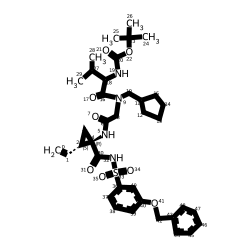 C=C[C@@H]1C[C@]1(NC(=O)CN(CC1CCCC1)C(=O)C(NC(=O)OC(C)(C)C)C(C)C)C(=O)NS(=O)(=O)c1cccc(OCc2ccccc2)c1